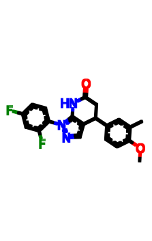 COc1ccc(C2CC(=O)Nc3c2cnn3-c2ccc(F)cc2F)cc1C